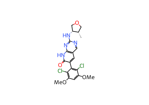 COc1cc(OC)c(Cl)c(-c2cc3cnc(N[C@@H]4COC[C@@H]4C)nc3[nH]c2=O)c1Cl